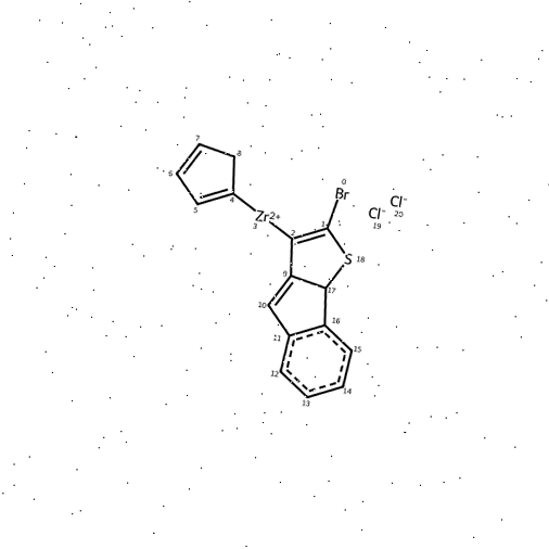 BrC1=[C]([Zr+2][C]2=CC=CC2)C2=Cc3ccccc3C2S1.[Cl-].[Cl-]